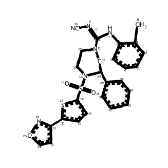 Cc1ccccc1N/C(=N/C#N)N1CCN(S(=O)(=O)c2ccc(-c3ccon3)s2)C(c2ccccc2)C1